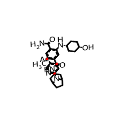 CC(=O)c1ccc(N2C3CCC2CC(NC(=O)c2cc(N[C@H]4CC[C@H](O)CC4)c(C(N)=O)cc2C)C3)nc1